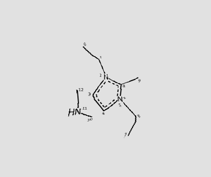 CCn1cc[n+](CC)c1C.CNC